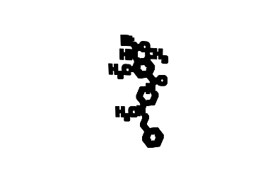 CCC(=O)Nc1c(C)cc(C(=O)N2CCC(N(C)CCc3ccccc3)CC2)cc1C